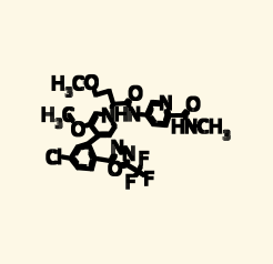 CNC(=O)c1ccc(NC(=O)C(CCOC)N2C=C(OC)C(c3cc(Cl)ccc3-c3nnc(C(F)(F)F)o3)=CC2)cn1